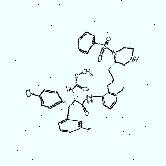 COC(=O)N[C@H](C(=O)Nc1cccc(F)c1CCC[C@H]1CNCCN1S(=O)(=O)c1ccccc1)[C@@H](c1ccc(Cl)cc1)c1cccc(F)c1